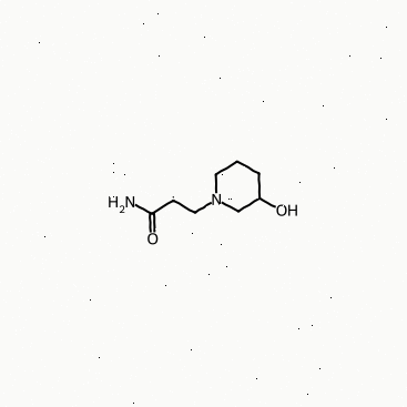 NC(=O)[CH]CN1CCCC(O)C1